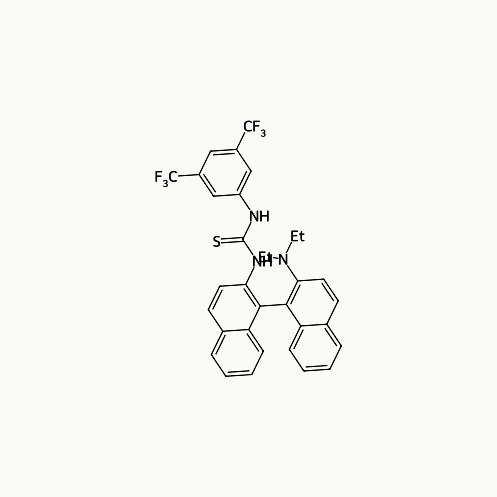 CCN(CC)c1ccc2ccccc2c1-c1c(NC(=S)Nc2cc(C(F)(F)F)cc(C(F)(F)F)c2)ccc2ccccc12